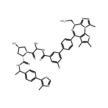 Cc1ncsc1-c1ccc(C(C)NC(=O)[C@@H]2C[C@@H](O)CN2C(=O)C(NC(=O)c2cc(F)cc(-c3ccc(C4=N[C@@H](CC(=O)O)c5nnc(C)n5-c5sc(C)c(C)c54)cc3)c2)C(C)(C)C)cc1